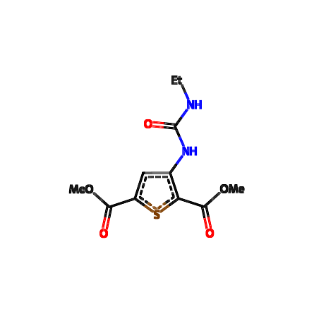 CCNC(=O)Nc1cc(C(=O)OC)sc1C(=O)OC